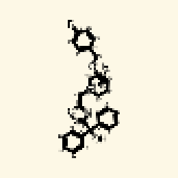 OC(c1ccccc1)(c1ccccc1)c1noc(C[N+]23CCC(CC2)[C@@H](OCc2ccc(F)cc2)C3)n1